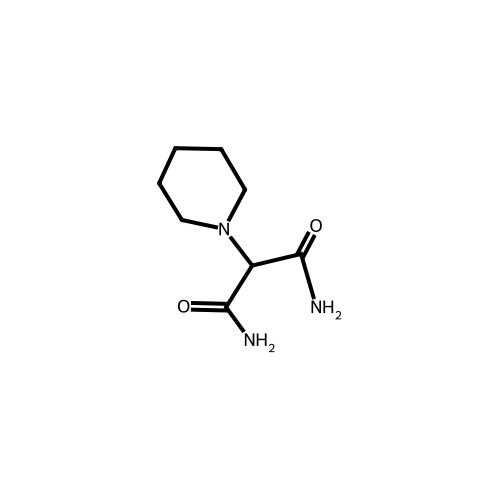 NC(=O)C(C(N)=O)N1CCCCC1